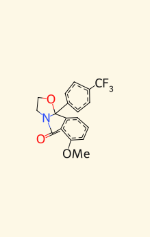 COc1cccc2c1C(=O)N1CCOC21c1ccc(C(F)(F)F)cc1